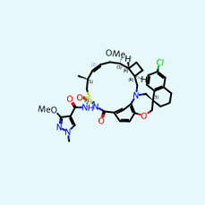 COc1nn(C)cc1C(=O)N[S@@]1(=O)=NC(=O)c2ccc3c(c2)N(C[C@@H]2CC[C@H]2[C@@H](OC)C/C=C\[C@H](C)C1)C[C@@]1(CCCc2cc(Cl)ccc21)CO3